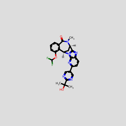 CN1C(=O)c2cccc(OC(F)F)c2[C@H]2C[C@@H]1c1nc3ccc(-c4cnc(C(C)(C)O)nc4)nc3n12